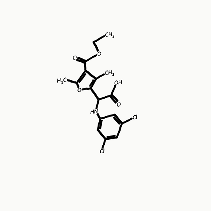 CCOC(=O)c1c(C)oc(C(Nc2cc(Cl)cc(Cl)c2)C(=O)O)c1C